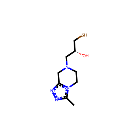 Cc1nnc2n1CCN(C[C@@H](O)CS)C2